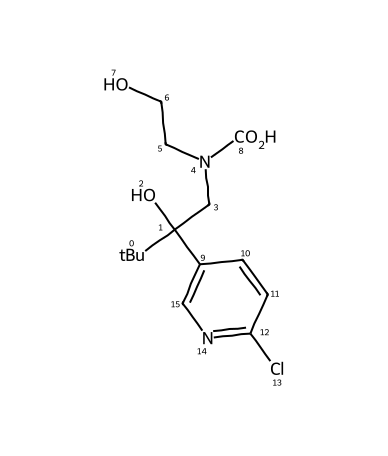 CC(C)(C)C(O)(CN(CCO)C(=O)O)c1ccc(Cl)nc1